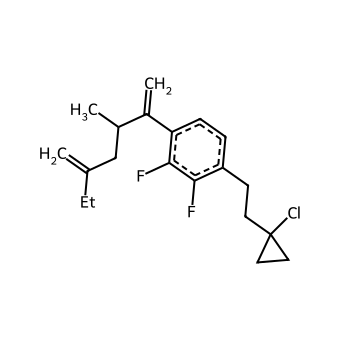 C=C(CC)CC(C)C(=C)c1ccc(CCC2(Cl)CC2)c(F)c1F